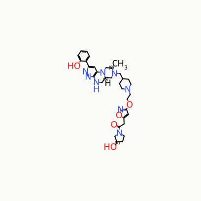 C[C@H]1CN2c3cc(-c4ccccc4O)nnc3NC[C@H]2CN1CC1CCN(CCOc2cc(CC(=O)N3CC[C@@H](O)C3)on2)CC1